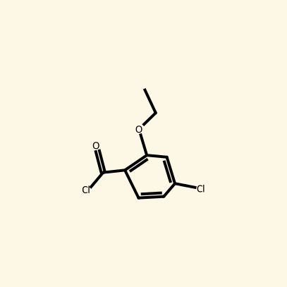 CCOc1cc(Cl)ccc1C(=O)Cl